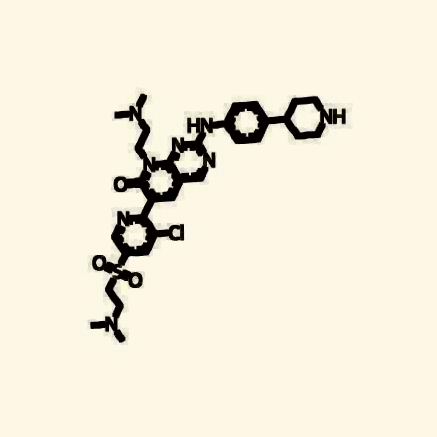 CN(C)CCn1c(=O)c(-c2ncc(S(=O)(=O)CCN(C)C)cc2Cl)cc2cnc(Nc3ccc(C4CCNCC4)cc3)nc21